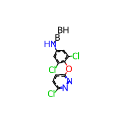 B=BNc1cc(Cl)c(Oc2ccc(Cl)nn2)c(Cl)c1